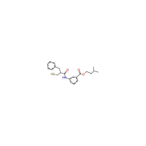 CC(C)CCOC(=O)c1cccc(NC(=O)C(CS)Cc2ccccc2)c1